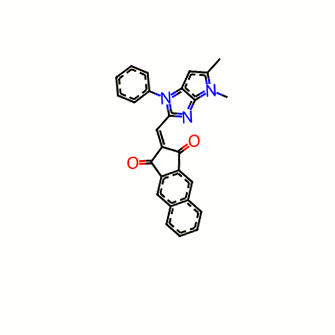 Cc1cc2c(nc(C=C3C(=O)c4cc5ccccc5cc4C3=O)n2-c2ccccc2)n1C